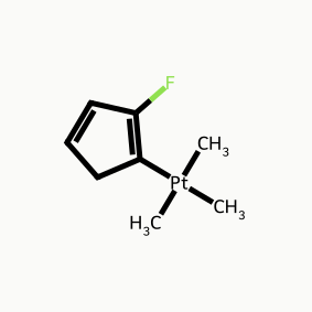 [CH3][Pt]([CH3])([CH3])[C]1=C(F)C=CC1